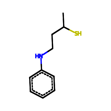 CC(S)CCNc1ccccc1